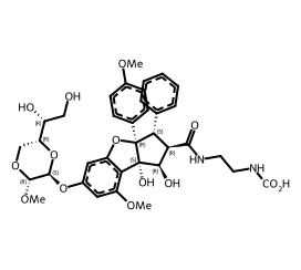 COc1ccc([C@@]23Oc4cc(O[C@@H]5O[C@@H]([C@H](O)CO)CO[C@H]5OC)cc(OC)c4[C@]2(O)[C@H](O)[C@H](C(=O)NCCNC(=O)O)[C@H]3c2ccccc2)cc1